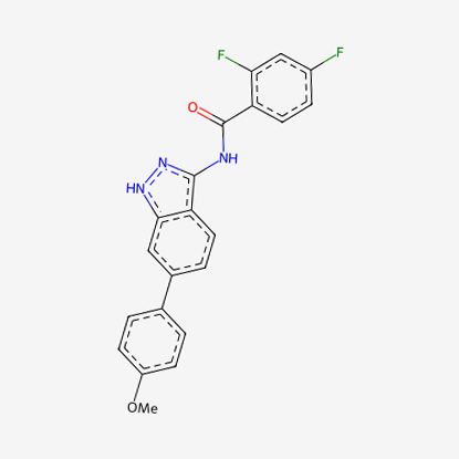 COc1ccc(-c2ccc3c(NC(=O)c4ccc(F)cc4F)n[nH]c3c2)cc1